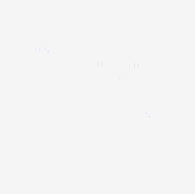 CC1(C)CC(N)=CC=C1c1ccc(N)cc1.c1ccc(-c2ccccc2)cc1